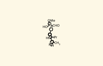 CO[C@@H]1C[C@H](CO)N(C(C=O)N2CCC(c3ccc4[nH]c(-c5cc(C)c6ncnn6c5)c(C(C)C)c4c3)CC2)C1